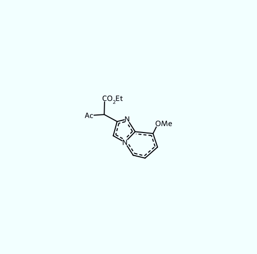 CCOC(=O)C(C(C)=O)c1cn2cccc(OC)c2n1